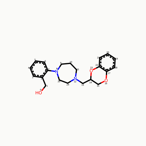 OCc1ccccc1N1CCCN(CC2COc3ccccc3O2)CC1